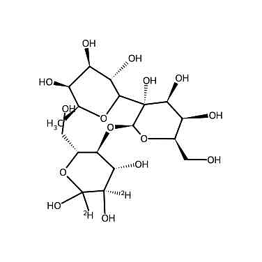 [2H]C1(O)O[C@H](CO)[C@@H](O[C@@H]2O[C@H](CO)[C@H](O)[C@H](O)[C@]2(O)C2O[C@@H](C)[C@@H](O)[C@@H](O)[C@@H]2O)[C@H](O)[C@@]1([2H])O